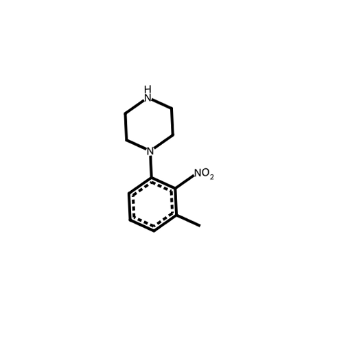 Cc1cccc(N2CCNCC2)c1[N+](=O)[O-]